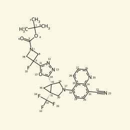 CC(C)(C)OC(=O)N1CC(F)(c2nnc([C@]34CN(c5ccc(C#N)c6ncccc56)C[C@@]3(C(F)(F)F)C4)o2)C1